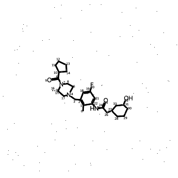 Cc1c(CN2CCN(C(=O)C3CCCC3)[C@@H](C)C2)cc(F)cc1NC(=O)CC1CCCC(O)C1